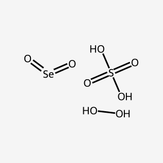 O=S(=O)(O)O.O=[Se]=O.OO